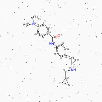 CN(C)c1ccc(C(=O)Nc2ccc(C3CC3NCC3CC3)cc2)cc1